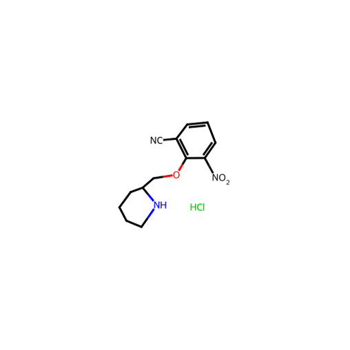 Cl.N#Cc1cccc([N+](=O)[O-])c1OCC1CCCCN1